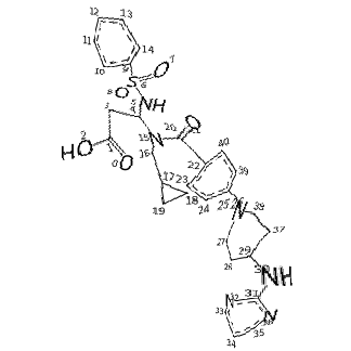 O=C(O)CC(NS(=O)(=O)c1ccccc1)N(CC1CC1)C(=O)c1ccc(N2CCC(Nc3ncccn3)CC2)cc1